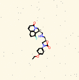 CCOc1ccc(N2C[C@@H](CNC[C@@H]3Cn4c(=O)ccc5ccc(F)c3c54)OC2=O)cc1